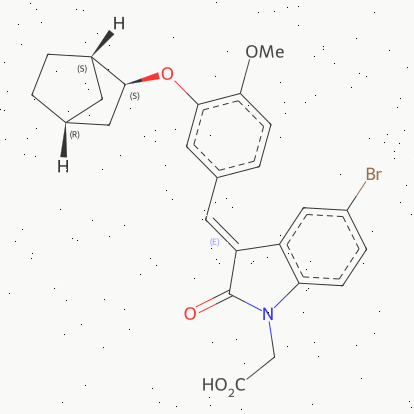 COc1ccc(/C=C2/C(=O)N(CC(=O)O)c3ccc(Br)cc32)cc1O[C@H]1C[C@@H]2CC[C@H]1C2